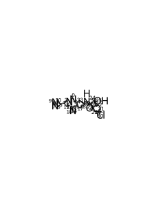 C=Nn1cc(-c2cnn(C)c2)cc1/C(=N\C)c1ccc(NC(=O)C(C)(O)c2ccc(Cl)cc2)cc1